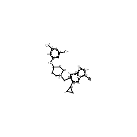 Clc1cc(Cl)cc(OC2CCN(Cc3cc4nnc(Br)n4cc3C3CC3)CC2)c1